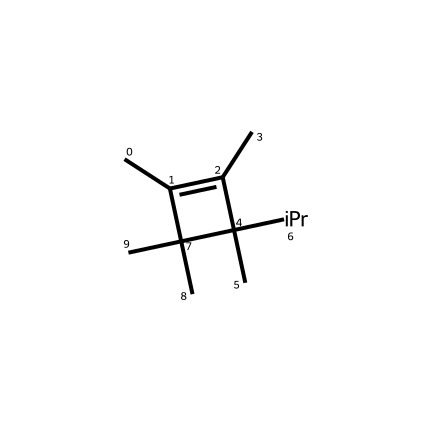 CC1=C(C)C(C)(C(C)C)C1(C)C